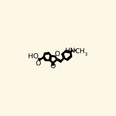 CNc1ccc(/C=C2\C(=O)c3ccc(C(=O)O)cc3C2=O)cc1